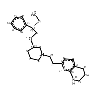 CC(=O)C[C@H](CO[C@@H]1CCCN(CCc2ccc3c(n2)NCCC3)C1)c1ccccc1